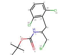 CC(C)(C)OC(=O)NC(CBr)Cc1c(Cl)cccc1Cl